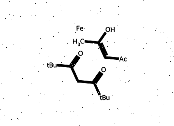 CC(=O)/C=C(/C)O.CC(C)(C)C(=O)CC(=O)C(C)(C)C.[Fe]